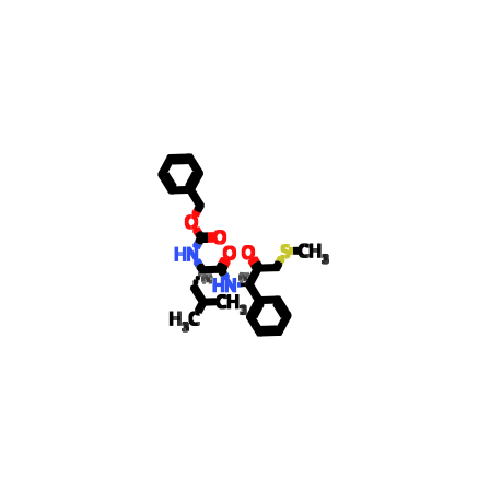 CSCC(=O)[C@@H](NC(=O)[C@H](CC(C)C)NC(=O)OCc1ccccc1)c1ccccc1